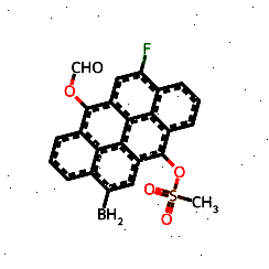 Bc1cc2c(OS(C)(=O)=O)c3cccc4c(F)cc5c(OC=O)c6cccc1c6c2c5c43